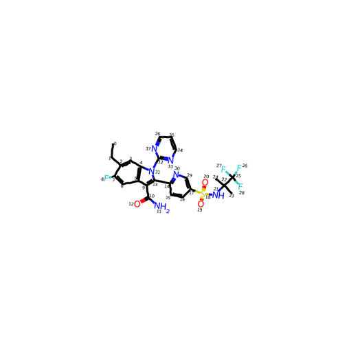 CCc1cc2c(cc1F)c(C(N)=O)c(-c1ccc(S(=O)(=O)NC(C)(C)C(F)(F)F)cn1)n2-c1ncccn1